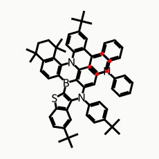 CC(C)(C)c1ccc(N2c3cc(N(c4ccccc4)c4ccccc4)cc4c3B(c3ccc5c(c3N4c3ccc(C(C)(C)C)cc3-c3ccccc3)C(C)(C)CCC5(C)C)c3sc4ccc(C(C)(C)C)cc4c32)cc1